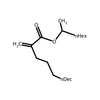 C=C(CCCCCCCCCCCCC)C(=O)OC(C)CCCCCC